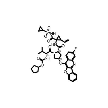 C=CC1CC1(NC(=O)[C@@H]1C[C@@H](Oc2c3ccc(F)cc3nc3c2oc2ccccc23)CN1C(=O)[C@@H](NC(=O)OC1CCCC1)C(C)C)C(=O)NS(=O)(=O)C1CC1